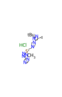 Cl.Cn1c(SCCCN2CCN(c3cc(C4CC4)nc(C(C)(C)C)n3)CC2)nnc1-c1cnccn1